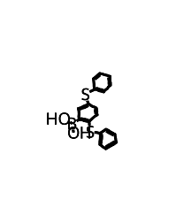 OB(O)c1cc(Sc2ccccc2)ccc1Sc1ccccc1